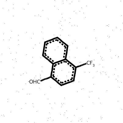 O=[C]c1ccc(C(F)(F)F)c2ccccc12